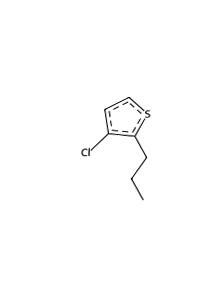 CCCc1sccc1Cl